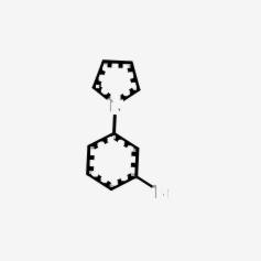 Brc1cccc(-n2cccc2)c1